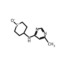 Cc1cc(NC2CC[S+]([O-])CC2)ncn1